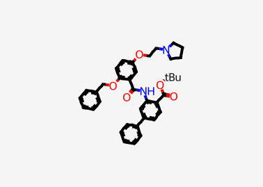 CC(C)(C)OC(=O)c1ccc(-c2ccccc2)cc1NC(=O)c1cc(OCCN2CCCC2)ccc1OCc1ccccc1